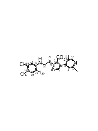 Cc1cc(-c2cnn([C@@H](C)CNc3cc(Cl)c(Cl)cc3I)c2C(=O)O)ccn1